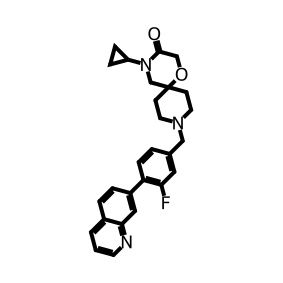 O=C1COC2(CCN(Cc3ccc(-c4ccc5cccnc5c4)c(F)c3)CC2)CN1C1CC1